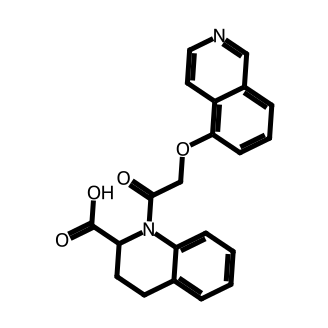 O=C(O)C1CCc2ccccc2N1C(=O)COc1cccc2cnccc12